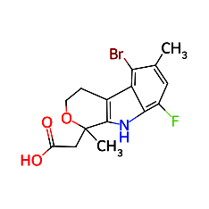 Cc1cc(F)c2[nH]c3c(c2c1Br)CCOC3(C)CC(=O)O